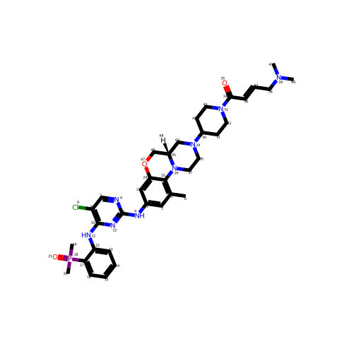 Cc1cc(Nc2ncc(Cl)c(Nc3ccccc3P(C)(C)=O)n2)cc2c1N1CCN(C3CCN(C(=O)/C=C/CN(C)C)CC3)C[C@H]1CO2